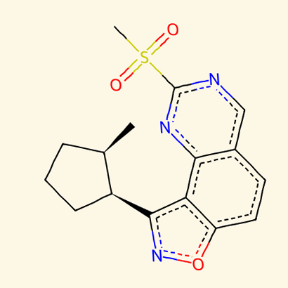 C[C@@H]1CCC[C@@H]1c1noc2ccc3cnc(S(C)(=O)=O)nc3c12